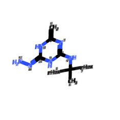 C=C1N=C(NC(C)(CCCCCC)CCCCCC)N/C(=N/N)N1